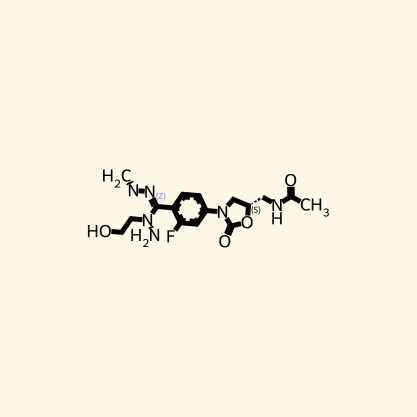 C=N/N=C(/c1ccc(N2C[C@H](CNC(C)=O)OC2=O)cc1F)N(N)CCO